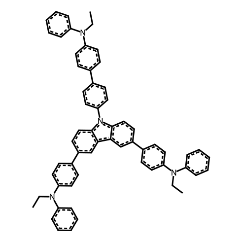 CCN(c1ccccc1)c1ccc(-c2ccc(-n3c4ccc(-c5ccc(N(CC)c6ccccc6)cc5)cc4c4cc(-c5ccc(N(CC)c6ccccc6)cc5)ccc43)cc2)cc1